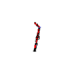 CCCCCCCC/C=C\CCCCCCCCCCCCCC(=O)OCCCCCCCC/C=C/CCCCCCCC